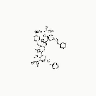 COc1ccc(CC(C)(C)N(C[C@H](O)c2cc(OCc3ccccc3)cc3c2OCC(=O)N3)C[C@H](O)c2cc(OCc3ccccc3)cc3c2OCC(=O)N3)cc1